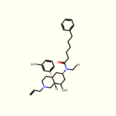 C=CCN1CC[C@@]2(c3cccc(OC(C)=O)c3)C[C@@H](N(CC(C)C)C(=O)CCCCCc3ccccc3)CC(OC(C)=O)[C@@H]2C1